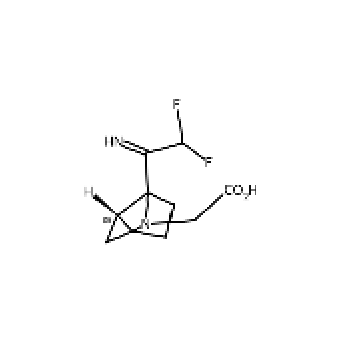 N=C(C(F)F)C12CCC3(C[C@@H]31)N2CC(=O)O